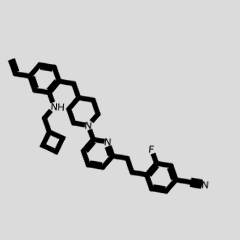 C=Cc1ccc(CC2CCN(c3cccc(CCc4ccc(C#N)cc4F)n3)CC2)c(NCC2CCC2)c1